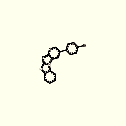 CCc1ccc(-c2cnc3sc4nc5ccccc5n4c3c2)cc1